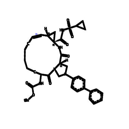 CC(C)(C)OC(=O)NC1CCCCC/C=C\[C@@H]2C[C@@]2(C(=O)NS(=O)(=O)C2CC2)NC(=O)[C@@H]2CN(c3ccc(-c4ccccc4)cc3)CN2C1=O